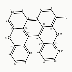 Cc1ccc2c3cncc4oc5ccccc5c(c43)c3c4cccnc4oc1c23